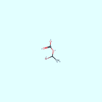 CC(Br)OC([O])=O